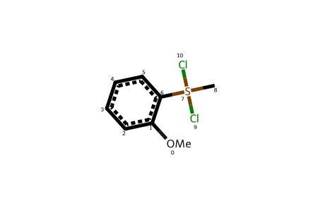 COc1ccccc1S(C)(Cl)Cl